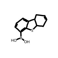 OB(O)c1cccc2c1SC1CC=CCC21